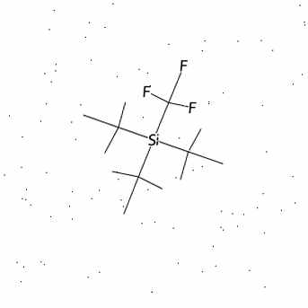 CC(C)(C)[Si](C(C)(C)C)(C(C)(C)C)C(F)(F)F